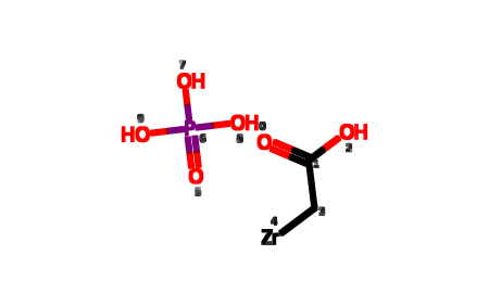 O=C(O)[CH2][Zr].O=P(O)(O)O